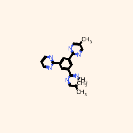 C=C(C)/C=N\C(=N/C)c1cc(-c2ncccn2)cc(-c2ncc(C)cn2)c1